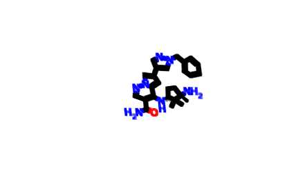 CC1(C)[C@H](Nc2c(C(N)=O)cnn3cc(-c4cnn(Cc5ccccc5)c4)cc23)CC[C@]1(C)N